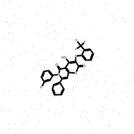 O=c1oc2cc(-c3ccccc3)n(-c3cccc(F)c3)c(=O)c2c(O)c1Sc1ccccc1C(F)(F)F